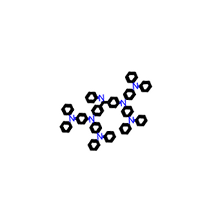 c1ccc(N=C(c2ccc(N(c3ccc(N(c4ccccc4)c4ccccc4)cc3)c3ccc(N(c4ccccc4)c4ccccc4)cc3)cc2)c2ccc(N(c3ccc(N(c4ccccc4)c4ccccc4)cc3)c3ccc(N(c4ccccc4)c4ccccc4)cc3)cc2)cc1